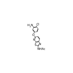 CC(=O)Nc1nc2ccc(Oc3ccc(Cl)c(N)c3)nc2s1